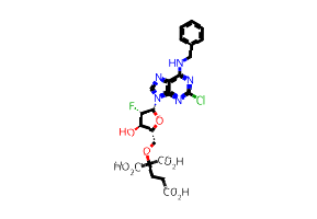 O=C(O)CCC(OC[C@H]1O[C@@H](n2cnc3c(NCc4ccccc4)nc(Cl)nc32)[C@@H](F)[C@@H]1O)(C(=O)O)C(=O)O